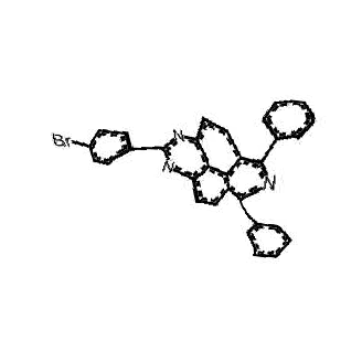 Brc1ccc(-c2nc3ccc4c(-c5ccccc5)nc(-c5ccccc5)c5ccc(n2)c3c45)cc1